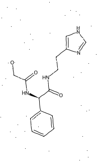 [O]CC(=O)N[C@@H](C(=O)NCCc1c[nH]cn1)c1ccccc1